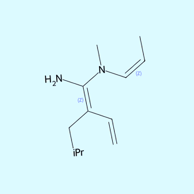 C=C/C(CC(C)C)=C(/N)N(C)/C=C\C